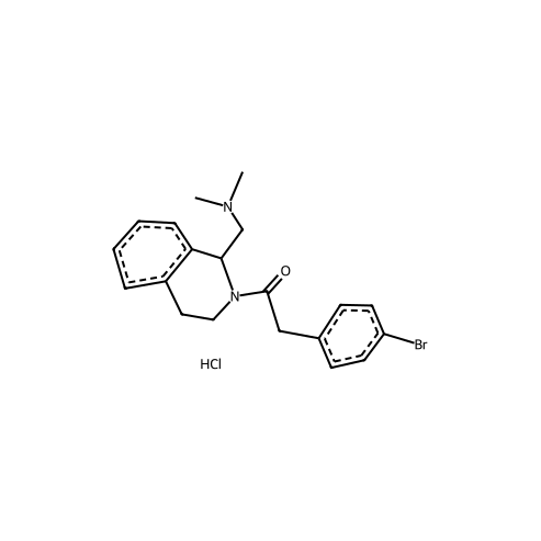 CN(C)CC1c2ccccc2CCN1C(=O)Cc1ccc(Br)cc1.Cl